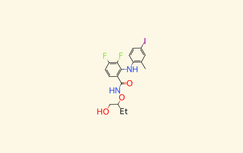 CCC(CO)ONC(=O)c1ccc(F)c(F)c1Nc1ccc(I)cc1C